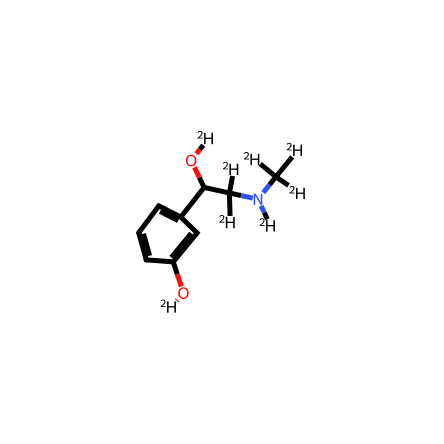 [2H]Oc1cccc(C(O[2H])C([2H])([2H])N([2H])C([2H])([2H])[2H])c1